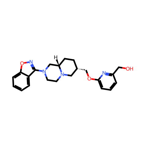 OCc1cccc(OC[C@H]2CC[C@H]3CN(c4noc5ccccc45)CCN3C2)n1